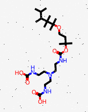 CC(C)C(C)C(C)(C)C(C)(C)OCCC(C)(C)OC(=O)NCCN(CCNC(=O)O)CCNC(=O)O